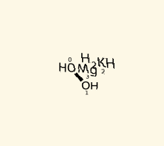 OO.[KH].[MgH2]